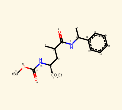 CCOC(=O)[C@H](CC(C)C(=O)NC(C)c1ccccc1)NC(=O)OC(C)(C)C